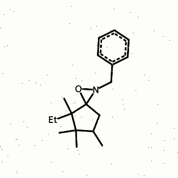 CCC1(C)C(C)(C)C(C)CC12ON2Cc1ccccc1